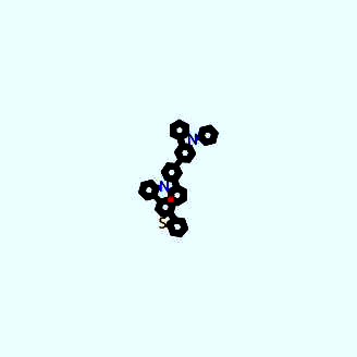 c1ccc(-n2c3ccccc3c3cc(-c4ccc5c(c4)c4ccccc4n5-c4ccccc4-c4ccc5c(c4)sc4ccccc45)ccc32)cc1